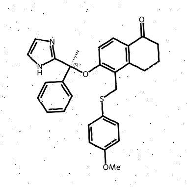 COc1ccc(SCc2c(O[C@@](C)(c3ccccc3)c3ncc[nH]3)ccc3c2CCCC3=O)cc1